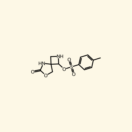 Cc1ccc(S(=O)(=O)OC2NCC23COC(=O)N3)cc1